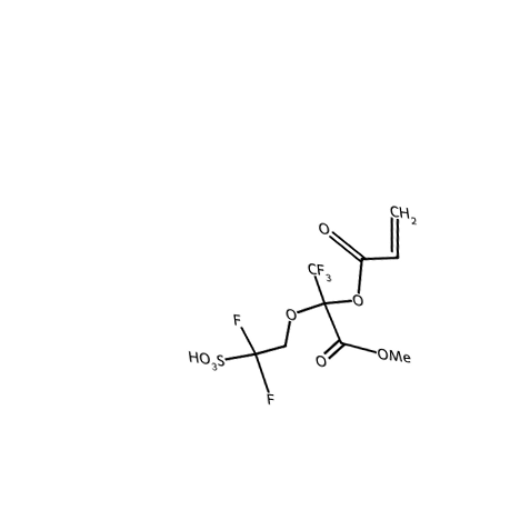 C=CC(=O)OC(OCC(F)(F)S(=O)(=O)O)(C(=O)OC)C(F)(F)F